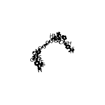 COc1nc(OCCOCCOCCOCC(=O)N[C@H](C(=O)N2CCC[C@H]2C(=O)NCc2ccc(-c3scnc3C)cc2)C(C)(C)C)ccc1N1C(=S)N(c2ccc(C#N)c(C(F)(F)F)c2F)C(=O)C1(C)C